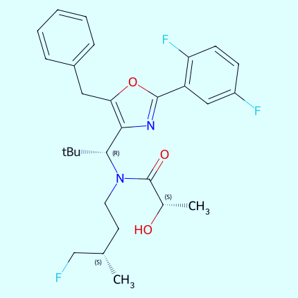 C[C@H](CF)CCN(C(=O)[C@H](C)O)[C@@H](c1nc(-c2cc(F)ccc2F)oc1Cc1ccccc1)C(C)(C)C